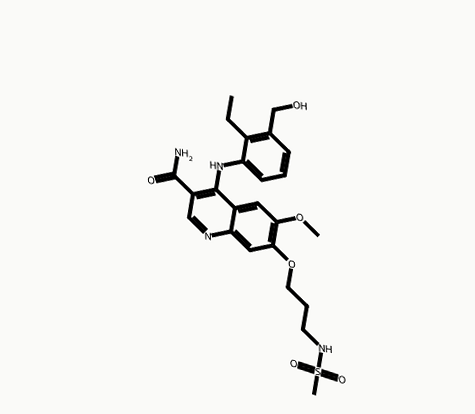 CCc1c(CO)cccc1Nc1c(C(N)=O)cnc2cc(OCCCNS(C)(=O)=O)c(OC)cc12